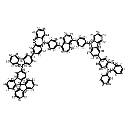 c1ccc(N2c3ccccc3Sc3cc(-c4ccc5c(c4)c4ccccc4n5-c4ccc(-c5cccc6c(-c7ccc(N8c9ccccc9Sc9cc(-c%10ccc%11c(c%10)c%10ccccc%10n%11-c%10ccc%11c(c%10)-c%10ccccc%10C%11%10c%11ccccc%11-c%11ccccc%11%10)ccc98)cc7)ccnc56)cc4)ccc32)cc1